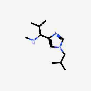 CN[C@H](c1cn(CC(C)C)cn1)C(C)C